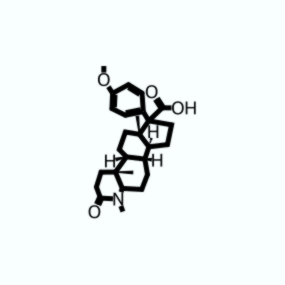 COc1ccc(C2(C(=O)O)CC[C@H]3[C@@H]4CCC5N(C)C(=O)CC[C@]5(C)[C@@H]4CC[C@@]32C)cc1